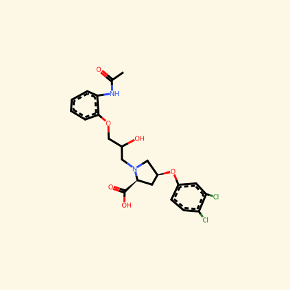 CC(=O)Nc1ccccc1OCC(O)CN1C[C@@H](Oc2ccc(Cl)c(Cl)c2)C[C@H]1C(=O)O